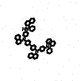 C1=CCC(Nc2ccc(N(c3ccc(-c4ccc(N(c5ccc(NC6(c7cccc8ccccc78)C=CC=CC6)cc5)c5cccc6ccccc56)cc4)cc3)c3cccc4ccccc34)cc2)(c2cccc3ccccc23)C=C1